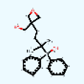 CC(C)(CCC1(CO)COC1)[Si](O)(c1ccccc1)c1ccccc1